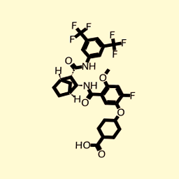 COc1cc(F)c(OC2CCC(C(=O)O)CC2)cc1C(=O)N[C@@H]1[C@H]2CC[C@H](C2)[C@@H]1C(=O)Nc1cc(C(F)(F)F)cc(C(F)(F)F)c1